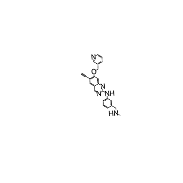 C#Cc1cc2cnc(Nc3cccc(CNC)c3)nc2cc1OCc1cccnc1